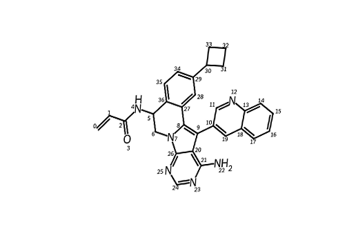 C=CC(=O)NC1Cn2c(c(-c3cnc4ccccc4c3)c3c(N)ncnc32)-c2cc(C3CCC3)ccc21